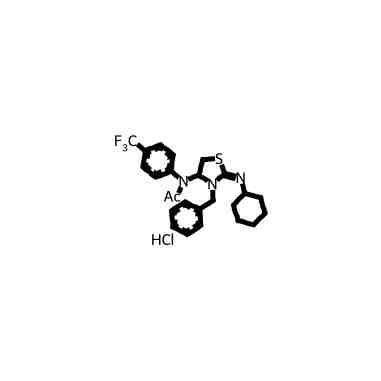 CC(=O)N(c1ccc(C(F)(F)F)cc1)C1CSC(=NC2CCCCC2)N1Cc1ccccc1.Cl